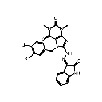 Cn1c(=O)c2c(nc(N/N=C3\C(=O)Nc4ccccc43)n2Cc2ccc(Cl)c(Cl)c2)n(C)c1=O